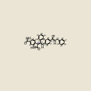 NC(=O)c1ccc2c(c1)NC(=O)/C2=C(\Nc1ccc(C(=O)NCc2ccccc2)cc1)c1ccccc1